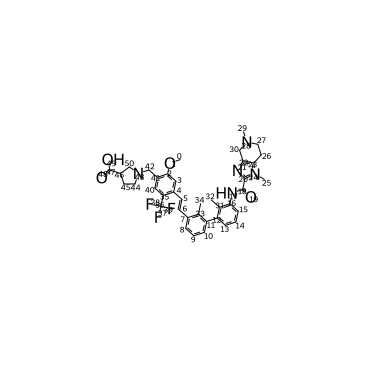 COc1cc(C=Cc2cccc(-c3cccc(NC(=O)c4nc5c(n4C)CCN(C)C5)c3C)c2C)c(C(F)(F)F)cc1CN1CCC(C(=O)O)C1